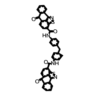 O=C(Nc1ccc(Cc2ccc(NC(=O)c3ccc4c5c(nsc35)-c3ccccc3C4=O)cc2)cc1)c1ccc2c3c(nsc13)-c1ccccc1C2=O